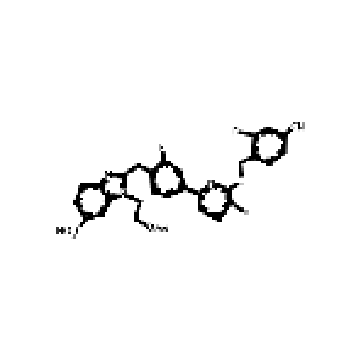 COCCn1c(Cc2ccc(-c3ccc(F)c(OCc4ccc(C#N)cc4F)n3)cc2F)nc2ccc(C(=O)O)cc21